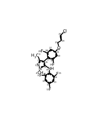 Cc1nn(C)c(Nc2c(F)cc(F)cc2F)c1-c1c(F)cc(OCC=CCl)cc1F